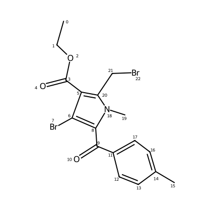 CCOC(=O)c1c(Br)c(C(=O)c2ccc(C)cc2)n(C)c1CBr